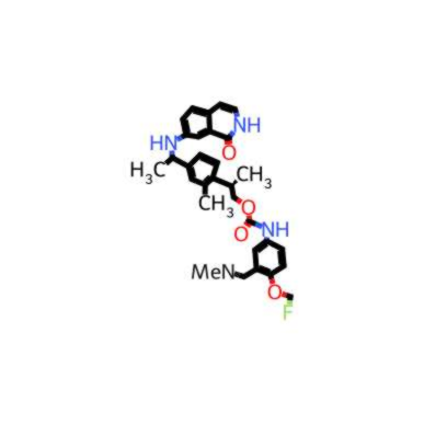 CNCc1cc(NC(=O)OC[C@H](C)c2ccc(C(C)Nc3ccc4cc[nH]c(=O)c4c3)cc2C)ccc1OCF